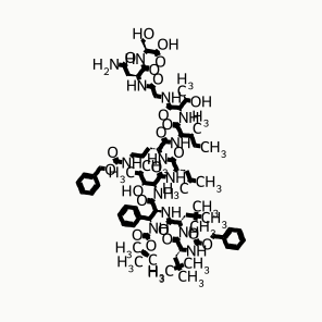 CC[C@H](C)C(NC(=O)[C@@H](CCCNC(=O)OCc1ccccc1)NC(=O)[C@H](CC(C)C)NC(=O)[C@@H](NC(=O)[C@@H](NC(=O)[C@H](CC(C)(C)C)NC(=O)[C@@H](CC(C)(C)C)NC(=O)OCc1ccccc1)[C@H](NC(=O)OC(C)(C)C)c1ccccc1)[C@H](O)C(C)C)C(=O)N[C@H](C(=O)NCC(=O)N[C@@H](CC(N)=O)C(=O)N[C@@H](CO)C(=O)O)[C@H](C)O